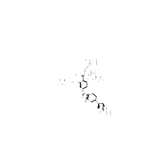 COc1cc(-n2cnc3cc(-c4cnn(C)c4)ccc32)cc(OC)c1C(=O)NCCN